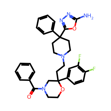 Nc1nnc(C2(c3ccccc3)CCN(CCC3(c4ccc(F)c(F)c4)CN(C(=O)c4ccccc4)CCO3)CC2)o1